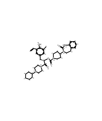 C=Cc1cc(C[C@@H](OC(=O)N2CCC(N3CCc4ccccc4NC3=O)CC2)C(=O)N2CCN(C3CCCCC3)CC2)cc(C)c1O